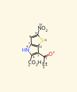 CCC(=O)c1c(C(=O)O)[nH]c2cc([N+](=O)[O-])sc12